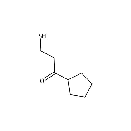 O=C(CCS)C1CCCC1